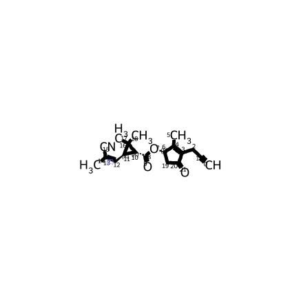 C#CCC1=C(C)[C@@H](OC(=O)[C@@H]2[C@@H](/C=C(/C)C#N)C2(C)C)CC1=O